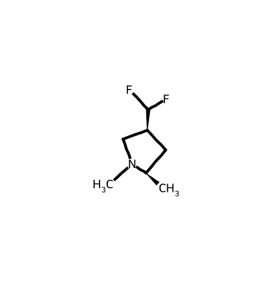 C[C@@H]1C[C@H](C(F)F)CN1C